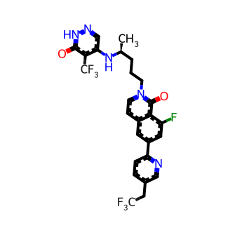 C[C@@H](CCCn1ccc2cc(-c3ccc(CC(F)(F)F)cn3)cc(F)c2c1=O)Nc1cn[nH]c(=O)c1C(F)(F)F